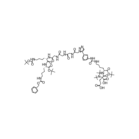 CC(C)(C)OC(=O)NCCCC[C@H](NC(=O)CNC(=O)CNC(=O)CNC(=O)Cn1nncc1-c1cccc(NC(=O)NCCCC[C@H](NC(=O)[C@](CCC(=O)O)(C(=O)O)N(C(C)(C)C)C(C)(C)C)C(=O)OC(C)(C)C)c1)C(=O)N[C@@H](CCCCNC(=O)OCc1ccccc1)C(=O)OC(C)(C)C